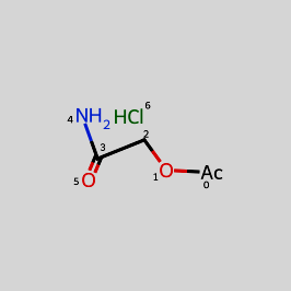 CC(=O)OCC(N)=O.Cl